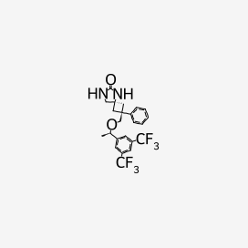 C[C@@H](OC[C@]1(c2ccccc2)C[C@@]2(CNC(=O)N2)C1)c1cc(C(F)(F)F)cc(C(F)(F)F)c1